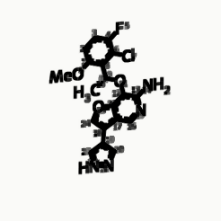 COc1ccc(F)c(Cl)c1[C@@H](C)Oc1c(N)ncc2c(-c3cn[nH]c3)coc12